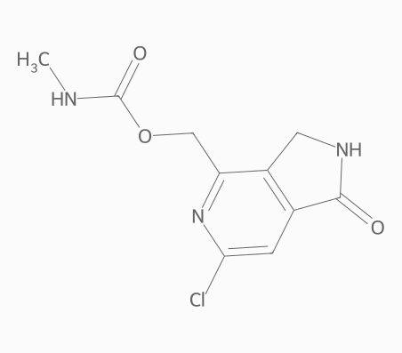 CNC(=O)OCc1nc(Cl)cc2c1CNC2=O